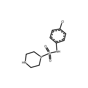 O=S(=O)(Nc1ccc(Cl)cc1)N1CCNCC1